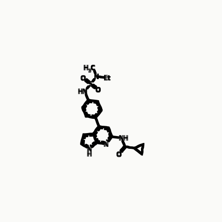 CCN(C)S(=O)(=O)Nc1ccc(-c2cc(NC(=O)C3CC3)nc3[nH]ccc23)cc1